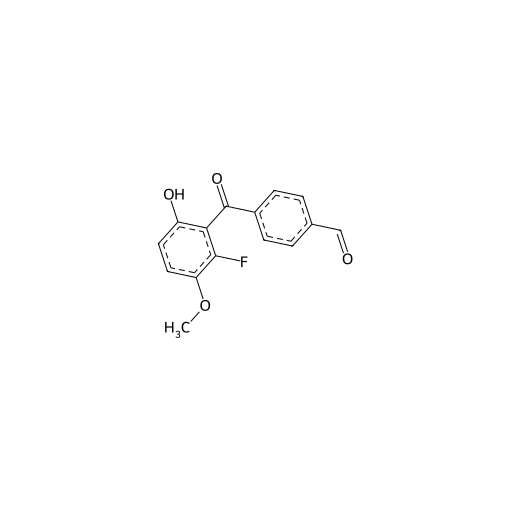 COc1ccc(O)c(C(=O)c2ccc(C=O)cc2)c1F